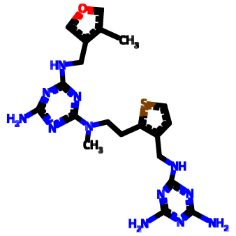 Cc1cocc1CNc1nc(N)nc(N(C)CCc2sccc2CNc2nc(N)nc(N)n2)n1